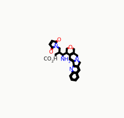 NC(C(CC(=O)O)CN1C(=O)C=CC1=O)C1COCC2=C1C=C1c3nc4ccccc4cc3CN1C2